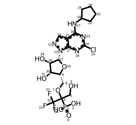 O=P(O)(O)C(CO)(OC[C@H]1O[C@@H](n2ncc3c(NC4CCCC4)nc(Cl)nc32)[C@H](O)[C@@H]1O)C(F)(F)F